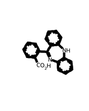 O=C(O)c1ccccc1C1=Nc2ccccc2Nc2ccccc21